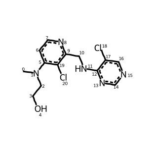 CN(CCO)c1ccnc(CNc2ncncc2Cl)c1Cl